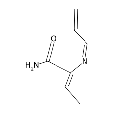 C=C/C=N\C(=C/C)C(N)=O